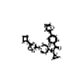 O=C(c1ccc(-c2cnco2)cc1)N(C1CC1)C1CCN(c2noc(C3CCC3)n2)CC1